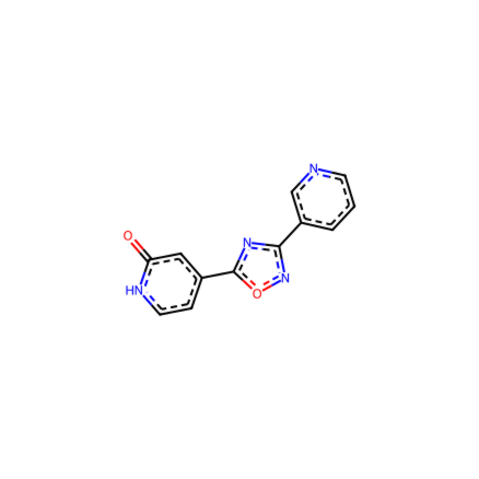 O=c1cc(-c2nc(-c3cccnc3)no2)cc[nH]1